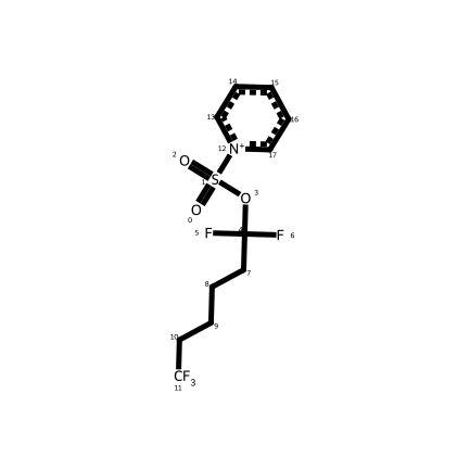 O=S(=O)(OC(F)(F)CCCCC(F)(F)F)[n+]1ccccc1